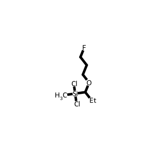 CCC(OCCCF)[Si](C)(Cl)Cl